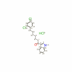 Cl.Cn1cc(C(=O)CCCCCCc2ccc(Cl)cc2Cl)c2ccccc21